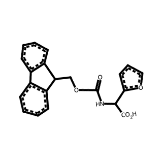 O=C(NC(C(=O)O)c1ccco1)OCC1c2ccccc2-c2ccccc21